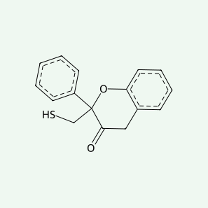 O=C1Cc2ccccc2OC1(CS)c1ccccc1